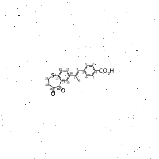 CC(=Cc1ccc(C(=O)O)cc1)c1ccc2c(c1)C(=O)C(=O)CCS2